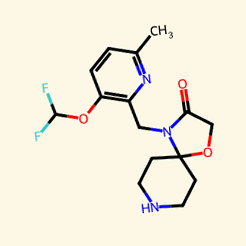 Cc1ccc(OC(F)F)c(CN2C(=O)COC23CCNCC3)n1